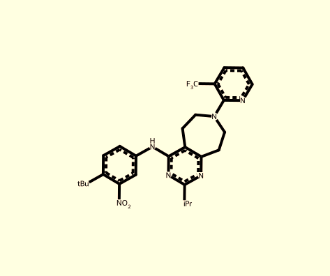 CC(C)c1nc2c(c(Nc3ccc(C(C)(C)C)c([N+](=O)[O-])c3)n1)CCN(c1ncccc1C(F)(F)F)CC2